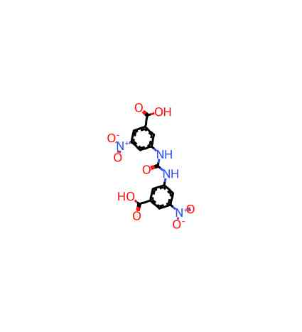 O=C(Nc1cc(C(=O)O)cc([N+](=O)[O-])c1)Nc1cc(C(=O)O)cc([N+](=O)[O-])c1